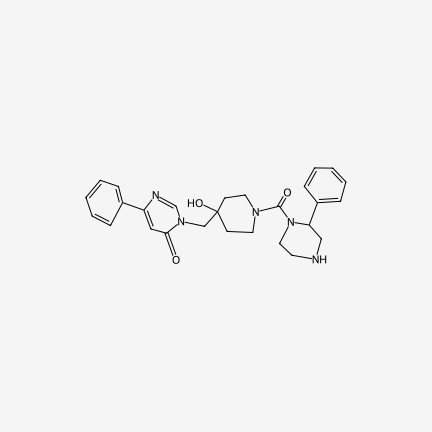 O=C(N1CCC(O)(Cn2cnc(-c3ccccc3)cc2=O)CC1)N1CCNCC1c1ccccc1